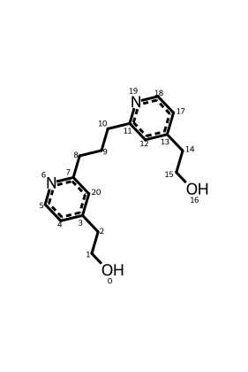 OCCc1ccnc(CCCc2cc(CCO)ccn2)c1